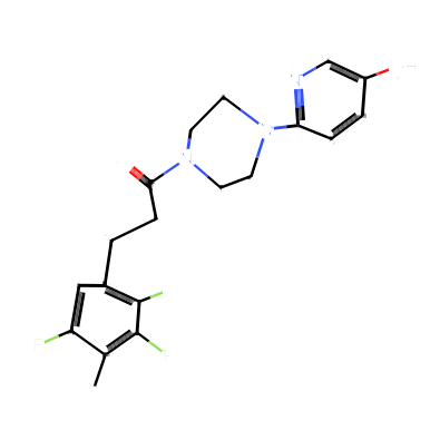 Cc1c(F)cc(CCC(=O)N2CCN(c3ccc(O)cn3)CC2)c(F)c1F